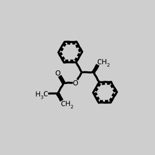 C=C(C)C(=O)OC(C(=C)c1ccccc1)c1ccccc1